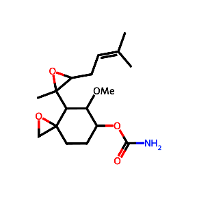 COC1C(OC(N)=O)CCC2(CO2)C1C1(C)OC1CC=C(C)C